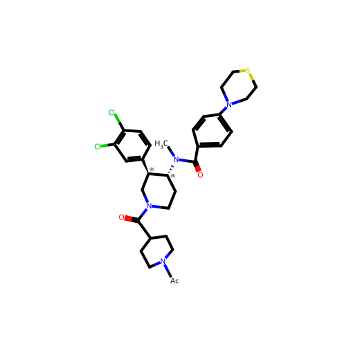 CC(=O)N1CCC(C(=O)N2CC[C@@H](N(C)C(=O)c3ccc(N4CCSCC4)cc3)[C@H](c3ccc(Cl)c(Cl)c3)C2)CC1